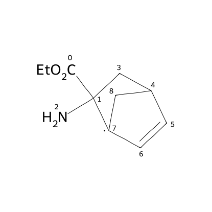 CCOC(=O)C1(N)CC2C=C[C]1C2